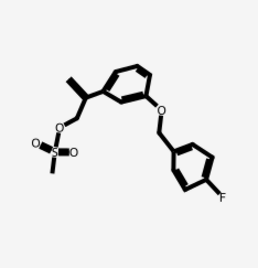 C=C(COS(C)(=O)=O)c1cccc(OCc2ccc(F)cc2)c1